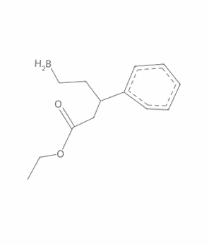 BCCC(CC(=O)OCC)c1ccccc1